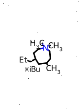 CCC(C1CC[N+](C)(C)CCC(C)C1)[C@H](C)CC